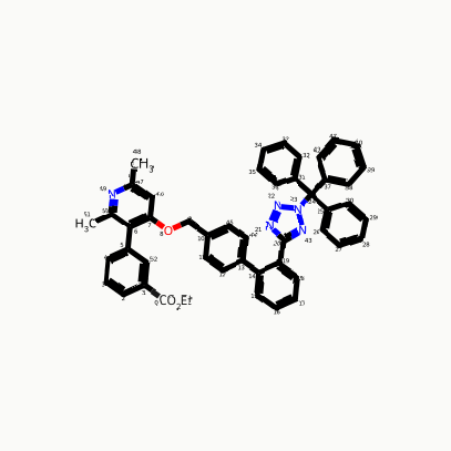 CCOC(=O)c1cccc(-c2c(OCc3ccc(-c4ccccc4-c4nnn(C(c5ccccc5)(c5ccccc5)c5ccccc5)n4)cc3)cc(C)nc2C)c1